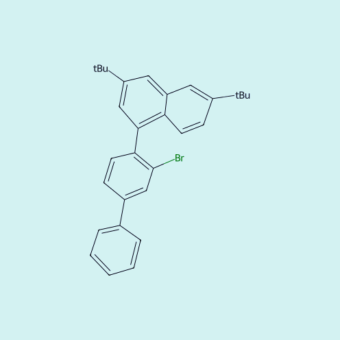 CC(C)(C)c1ccc2c(-c3ccc(-c4ccccc4)cc3Br)cc(C(C)(C)C)cc2c1